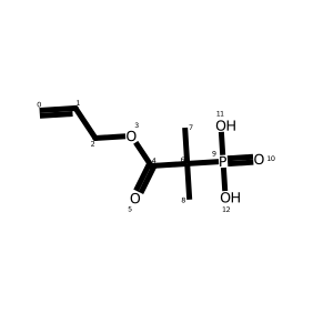 C=CCOC(=O)C(C)(C)P(=O)(O)O